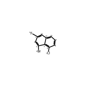 Fc1cc(Br)c2c(Cl)cccc2c1